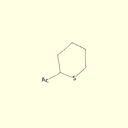 CC(=O)C1CCCCS1